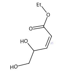 CCOC(=O)/C=C\C(O)CO